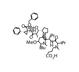 CCC(C)C(C(CC(=O)N1CCC[C@H]1C(OC)C(C)C(=O)N[C@@]1(C(=O)OCc2ccccc2)C[C@@H]1c1ccccc1)OC)N(C)C(=O)C(NC(=O)C(C(C)C)N(C)CCCC(=O)O)C(C)C